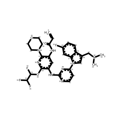 C=CC(=O)Nc1cc(Nc2nccc(-n3cc(CN(C)C)c4ccc(F)cc43)n2)c(OC(F)C(F)F)nc1N1CCOCC1